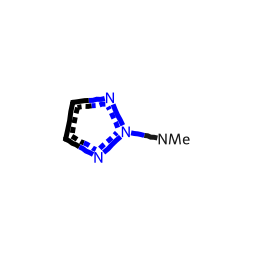 CNn1nccn1